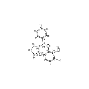 Cc1ccc(Cl)c(O[C@@H](c2ccncc2)[C@H]2CCNC2)c1Cl